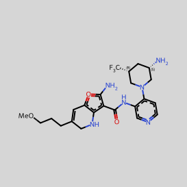 COCCCC1=Cc2oc(N)c(C(=O)Nc3cnccc3N3C[C@@H](N)C[C@@H](C(F)(F)F)C3)c2NC1